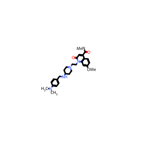 CNC(=O)c1cc(=O)n(CCN2CCC(NCc3ccc(N(C)C)cc3)CC2)c2cc(OC)ccc12